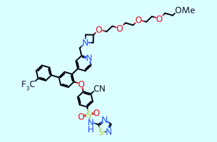 COCCOCCOCCOCCOC1CN(Cc2cc(-c3cc(-c4cccc(C(F)(F)F)c4)ccc3Oc3ccc(S(=O)(=O)Nc4ncns4)cc3C#N)ccn2)C1